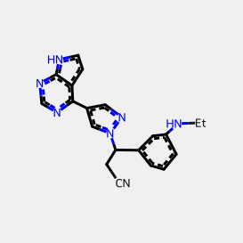 CCNc1cccc(C(CC#N)n2cc(-c3ncnc4[nH]ccc34)cn2)c1